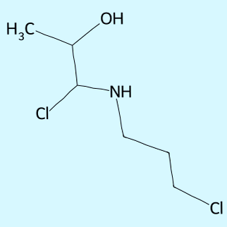 CC(O)C(Cl)NCCCCl